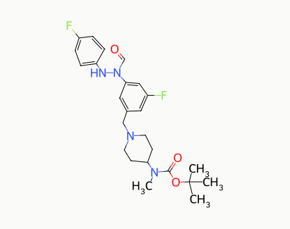 CN(C(=O)OC(C)(C)C)C1CCN(Cc2cc(F)cc(N(C=O)Nc3ccc(F)cc3)c2)CC1